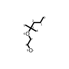 CCCC(C)(C)OCC[O]